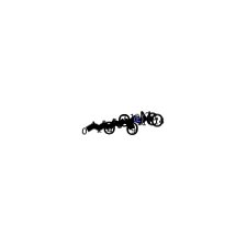 CCCCOCCOC(=O)/C=C/N=C=O